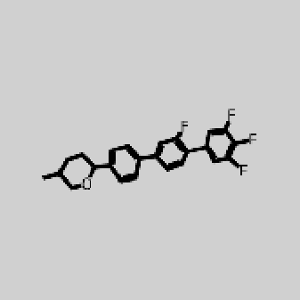 CC1CCC(c2ccc(-c3ccc(-c4cc(F)c(F)c(F)c4)c(F)c3)cc2)OC1